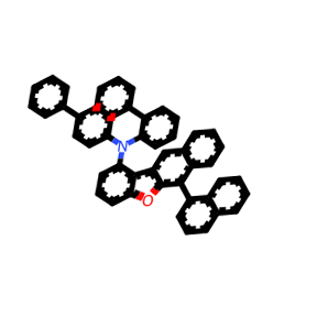 c1ccc(-c2ccc(N(c3ccccc3-c3ccccc3)c3cccc4oc5c(-c6cccc7ccccc67)c6ccccc6cc5c34)cc2)cc1